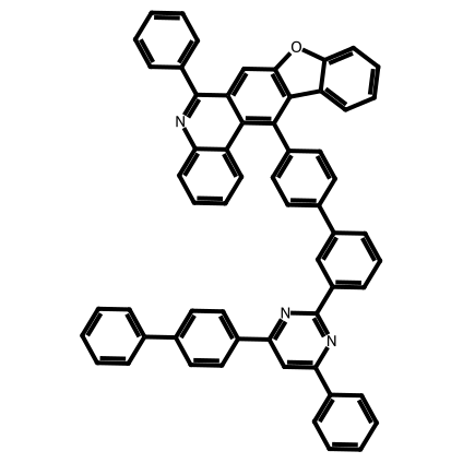 c1ccc(-c2ccc(-c3cc(-c4ccccc4)nc(-c4cccc(-c5ccc(-c6c7c(cc8c(-c9ccccc9)nc9ccccc9c68)oc6ccccc67)cc5)c4)n3)cc2)cc1